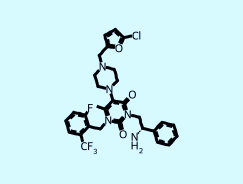 Cc1c(N2CCN(Cc3ccc(Cl)o3)CC2)c(=O)n(C[C@@H](N)c2ccccc2)c(=O)n1Cc1c(F)cccc1C(F)(F)F